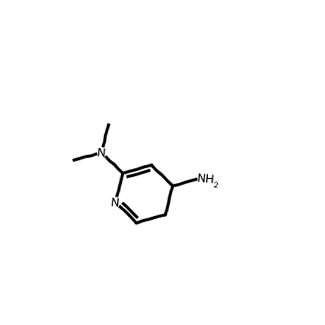 CN(C)C1=CC(N)CC=N1